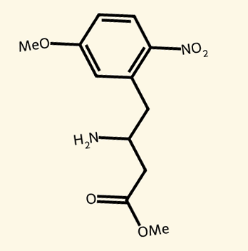 COC(=O)CC(N)Cc1cc(OC)ccc1[N+](=O)[O-]